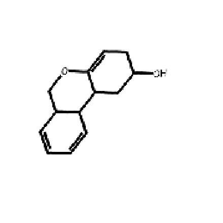 OC1CC=C2OCC3C=CC=CC3C2C1